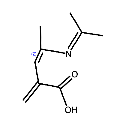 C=C(/C=C(/C)N=C(C)C)C(=O)O